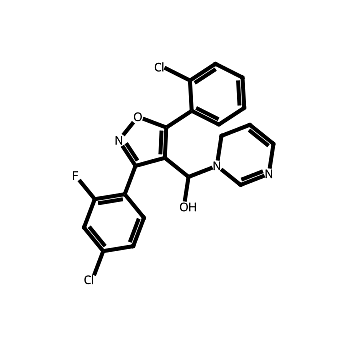 OC(c1c(-c2ccc(Cl)cc2F)noc1-c1ccccc1Cl)N1C=NC=CC1